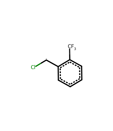 FC(F)(F)c1ccccc1[CH]Cl